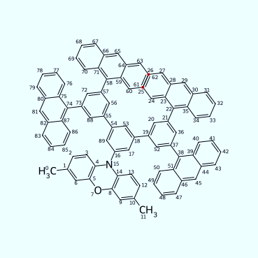 Cc1ccc2c(c1)Oc1cc(C)ccc1N2c1cc(-c2cc(-c3c4ccccc4cc4ccccc34)cc(-c3c4ccccc4cc4ccccc34)c2)cc(-c2cc(-c3c4ccccc4cc4ccccc34)cc(-c3c4ccccc4cc4ccccc34)c2)c1